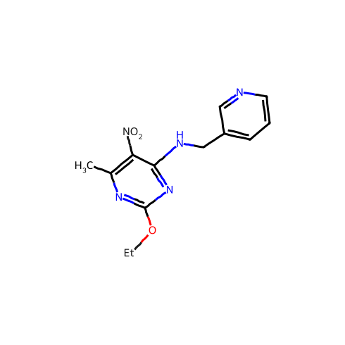 CCOc1nc(C)c([N+](=O)[O-])c(NCc2cccnc2)n1